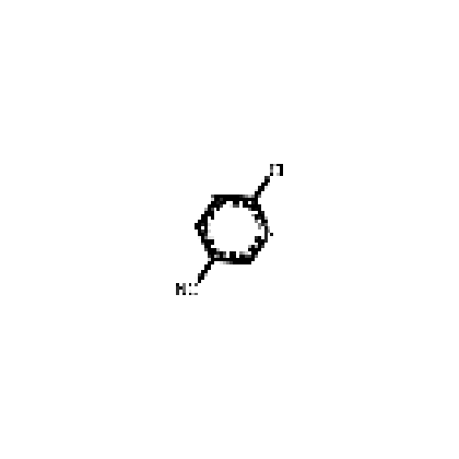 N#Cc1c[c]c(Cl)nc1